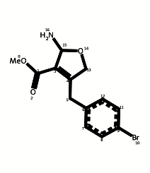 COC(=O)C1=C(Cc2ccc(Br)cc2)COC1N